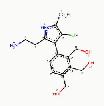 CCOC(=O)c1[nH]c(CCN)c(-c2ccc(CO)c(CO)c2CO)c1Cl